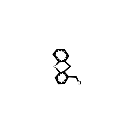 ClCc1cccc2c1Cc1ccccc1O2